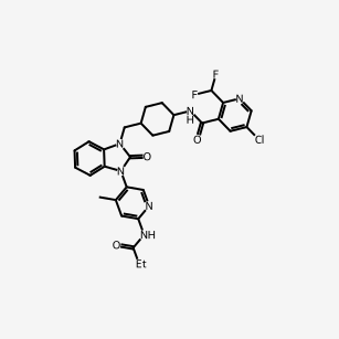 CCC(=O)Nc1cc(C)c(-n2c(=O)n(CC3CCC(NC(=O)c4cc(Cl)cnc4C(F)F)CC3)c3ccccc32)cn1